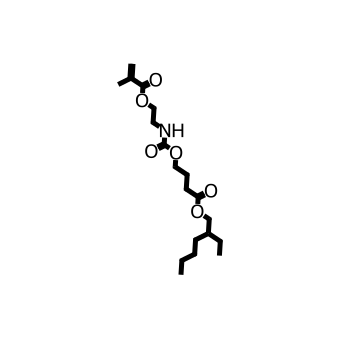 C=C(C)C(=O)OCCNC(=O)OCCCC(=O)OCC(CC)CCCC